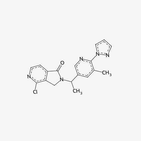 Cc1cc(C(C)N2Cc3c(ccnc3Cl)C2=O)cnc1-n1cccn1